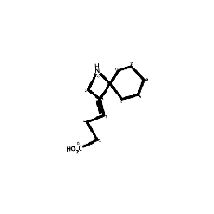 O=C(O)CC/C=C1\CNC12CCCCC2